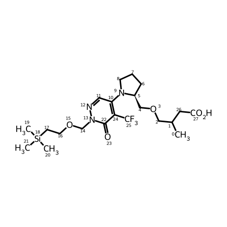 CC(COC[C@@H]1CCCN1c1cnn(COCC[Si](C)(C)C)c(=O)c1C(F)(F)F)CC(=O)O